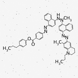 CCCc1ccc(OC(=O)c2ccc(/N=N/c3ccc(NN(C)c4ccc(/N=N/c5cc6c(cc5C)N(CCC)CCC6)c5ccccc45)c4ccccc34)cc2)cc1